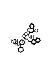 O=C(N[C@@H](Cc1ccc2ccccc2c1)C(=O)N1CCC(Cn2cncn2)(C2CCCCC2)CC1)c1cc(=O)c2ccccc2o1